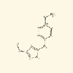 CCc1csc(Oc2ccc(CN)cc2)c1